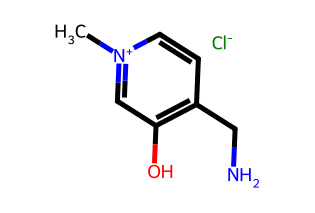 C[n+]1ccc(CN)c(O)c1.[Cl-]